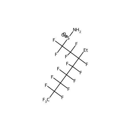 CCC(F)(C(F)(F)C(F)(F)C(F)(F)C(F)(F)C(F)(F)F)C(F)(F)C(F)(F)S(N)(=O)=O